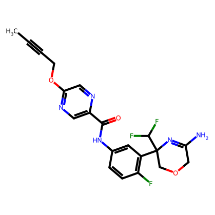 CC#CCOc1cnc(C(=O)Nc2ccc(F)c(C3(C(F)F)COCC(N)=N3)c2)cn1